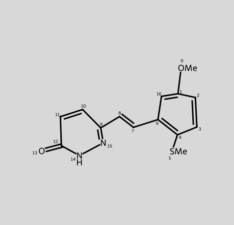 COc1ccc(SC)c(C=Cc2ccc(=O)[nH]n2)c1